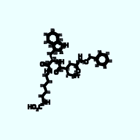 CC(C)C[C@H](CC(=O)NOCc1ccccc1)C(=O)N[C@@H](Cc1c[nH]c2ccccc12)C(=O)NCCCCCNC(=O)O